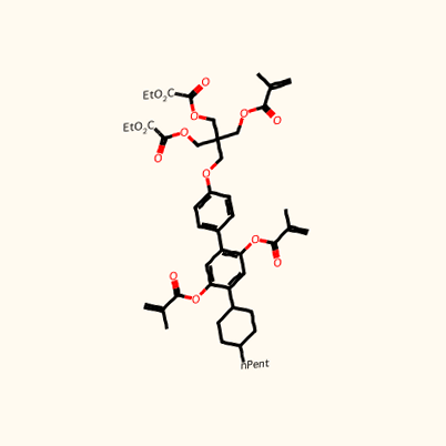 C=C(C)C(=O)OCC(COC(=O)C(=O)OCC)(COC(=O)C(=O)OCC)COc1ccc(-c2cc(OC(=O)C(=C)C)c(C3CCC(CCCCC)CC3)cc2OC(=O)C(=C)C)cc1